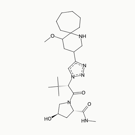 CNC(=O)[C@@H]1C[C@@H](O)CN1C(=O)[C@@H](n1cc(C2CNC3(CCCCCC3)C(OC)C2)nn1)C(C)(C)C